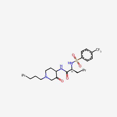 CC(C)CCCN1CCC(NC(=O)[C@H](CC(C)C)NS(=O)(=O)c2ccc(C(F)(F)F)cc2)C(=O)C1